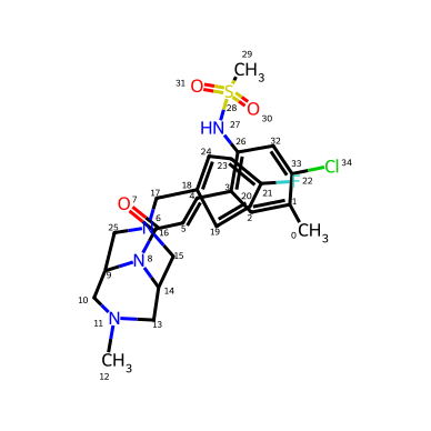 Cc1cc(C=CC(=O)N2C3CN(C)CC2CN(Cc2ccc(F)cc2)C3)c(NS(C)(=O)=O)cc1Cl